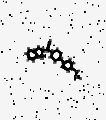 COc1ccc(N2CCN(C(=O)[C@H]3Cc4ccccc4N3)CC2)cc1